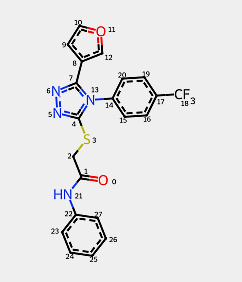 O=C(CSc1nnc(-c2ccoc2)n1-c1ccc(C(F)(F)F)cc1)Nc1ccccc1